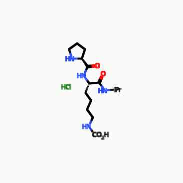 CC(C)NC(=O)[C@H](CCCCNC(=O)O)NC(=O)[C@@H]1CCCN1.Cl